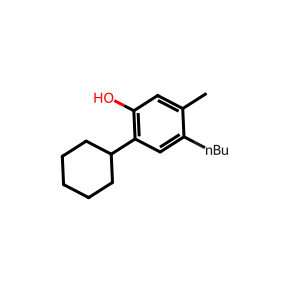 CCCCc1cc(C2CCCCC2)c(O)cc1C